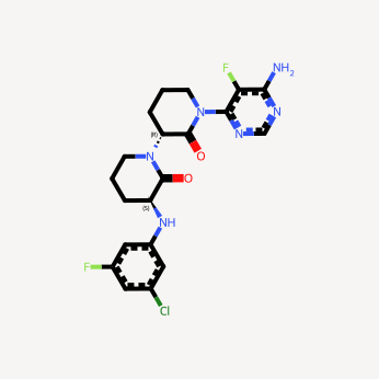 Nc1ncnc(N2CCC[C@@H](N3CCC[C@H](Nc4cc(F)cc(Cl)c4)C3=O)C2=O)c1F